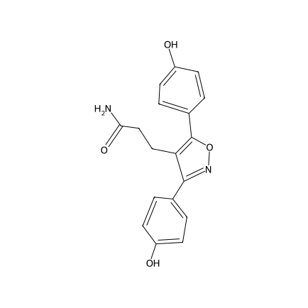 NC(=O)CCc1c(-c2ccc(O)cc2)noc1-c1ccc(O)cc1